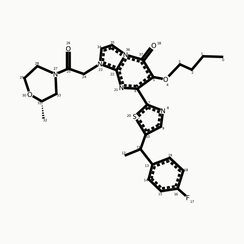 CCCCOc1c(-c2ncc(C(C)c3ccc(F)cc3)s2)nc2n(CC(=O)N3CCO[C@@H](C)C3)ccn2c1=O